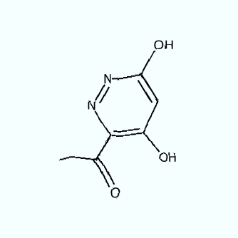 CC(=O)c1nnc(O)cc1O